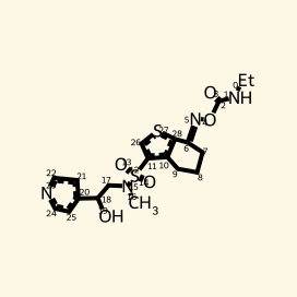 CCNC(=O)ON=C1CCCc2c(S(=O)(=O)N(C)CC(O)c3ccncc3)csc21